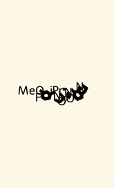 COc1cc(CN2CCO[C@@H](C(=O)N(Cc3cccc4cccnc34)CC(C)C)C2)ccc1F